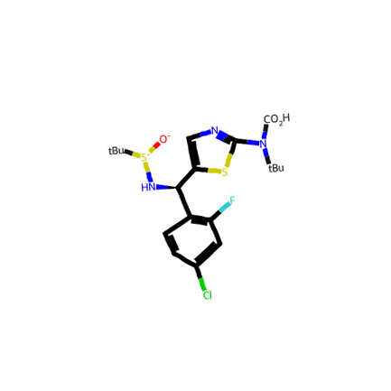 CC(C)(C)N(C(=O)O)c1ncc([C@H](N[S+]([O-])C(C)(C)C)c2ccc(Cl)cc2F)s1